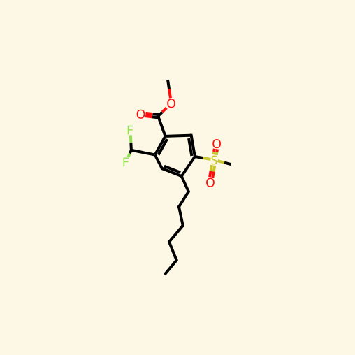 CCCCCCc1cc(C(F)F)c(C(=O)OC)cc1S(C)(=O)=O